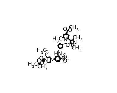 COC[C@H]1CN(c2ccc([N+](=O)[O-])c(NC[C@@H]3CC[C@H](COc4c(-c5cc(C(=O)OC)cc(C)n5)c(C)nn4C)C3)c2)CCN1C(=O)OC(C)(C)C